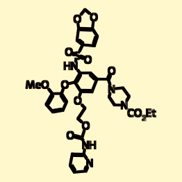 CCOC(=O)N1CCN(C(=O)c2cc(NS(=O)(=O)c3ccc4c(c3)OCO4)c(Oc3ccccc3OC)c(OCCOC(=O)Nc3ccccn3)c2)CC1